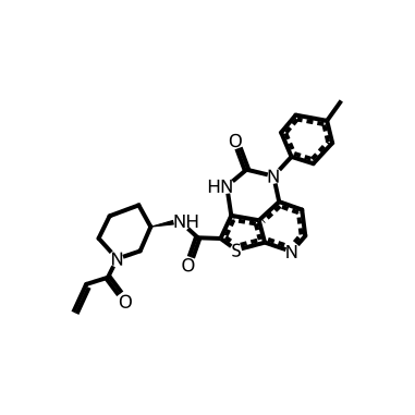 C=CC(=O)N1CCC[C@@H](NC(=O)c2sc3nccc4c3c2NC(=O)N4c2ccc(C)cc2)C1